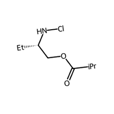 CC[C@@H](COC(=O)C(C)C)NCl